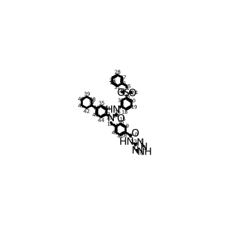 O=C(Nc1nn[nH]n1)c1ccc(CN(C(=O)Nc2cccc(S(=O)(=O)Cc3ccccc3)c2)c2ccc(C3CCCCC3)cc2)cc1